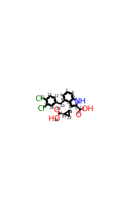 O=C(O)c1[nH]c2cccc(Cc3ccc(Cl)c(Cl)c3)c2c1[C@@H]1C[C@H]1C(=O)O